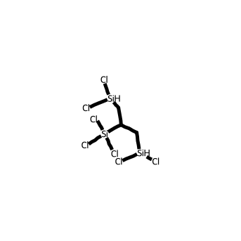 Cl[SiH](Cl)CC(C[SiH](Cl)Cl)[Si](Cl)(Cl)Cl